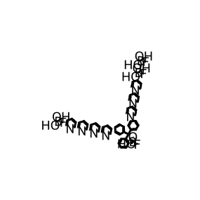 OB(F)OC(c1ccccc1)(c1ccccc1)c1ccccc1.OB(O)F.OB(O)F.OB(O)F.c1ccncc1.c1ccncc1.c1ccncc1.c1ccncc1.c1ccncc1.c1ccncc1.c1ccncc1